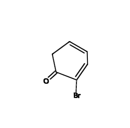 O=C1CC=CC=C1Br